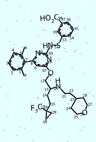 Cc1cccc(C)c1-c1cc(OCC(CCC2(C(F)(F)F)CC2)NCCC2CCOCC2)nc(NSc2cccc(C(=O)O)c2)n1